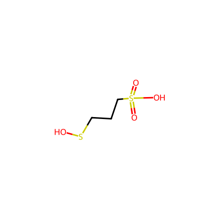 O=S(=O)(O)CCCSO